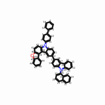 c1ccc(-c2ccc(-n3c4ccc(-c5ccc6c(c5)c5ccccc5n6-c5cccc6ccccc56)cc4c4c5c(ccc43)oc3ccccc35)cc2)cc1